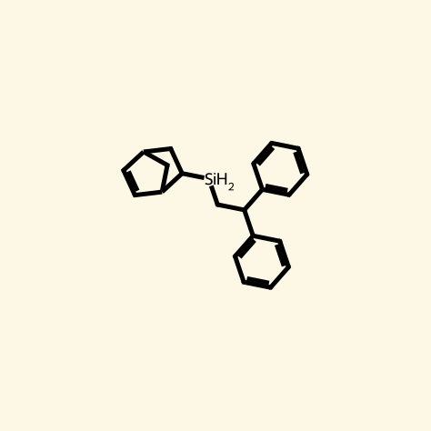 C1=CC2CC1CC2[SiH2]CC(c1ccccc1)c1ccccc1